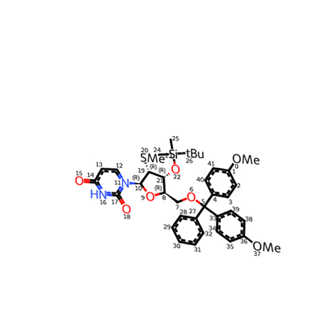 COc1ccc(C(OC[C@H]2O[C@@H](n3ccc(=O)[nH]c3=O)[C@H](SC)[C@@H]2O[Si](C)(C)C(C)(C)C)(c2ccccc2)c2ccc(OC)cc2)cc1